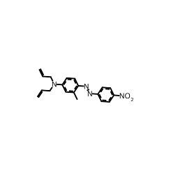 C=CCN(CC=C)c1ccc(N=Nc2ccc([N+](=O)[O-])cc2)c(C)c1